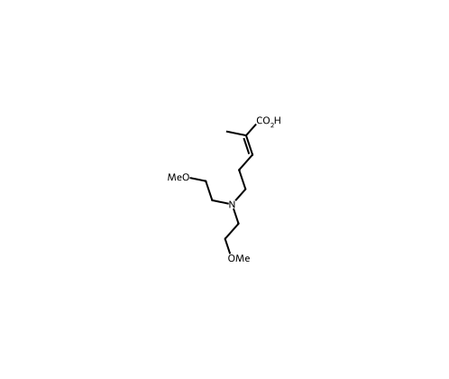 COCCN(CCC=C(C)C(=O)O)CCOC